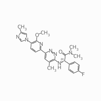 COc1nc(-c2cc(C)c(N[C@@H](C(=O)N(C)C)c3ccc(F)cc3)nn2)ccc1-n1cnc(C)c1